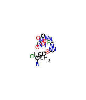 CC(C)(c1ccc(OCc2ccnc(N3CCC(CN4CCN(c5cccc6c5C(=O)N(C5CCC(=O)NC5=O)C6=O)CC4)C(F)C3)n2)cc1)c1cc(Cl)cc(C#N)c1